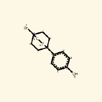 Oc1ccc(C23CCC(Br)(CC2)CC3)cc1